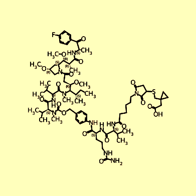 CC[C@H](C)C([C@@H](CC(=O)N1C[C@H](OC)C[C@H]1[C@H](OC)[C@@H](C)C(=O)N[C@@H](C)C(=O)c1ccc(F)cc1)OC)N(C)C(=O)[C@@H](NC(=O)[C@H](C(C)C)N(C)C(=O)OCc1ccc(NC(=O)[C@H](CCCNC(N)=O)NC(=O)[C@@H](NC(=O)CCCCCN2C(=O)CC(SCC3(CC(=O)O)CC3)C2=O)C(C)C)cc1)C(C)C